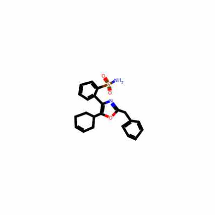 NS(=O)(=O)c1ccccc1-c1nc(Cc2ccccc2)oc1C1CC=CCC1